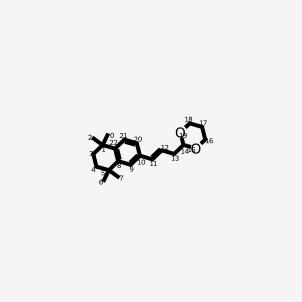 CC1(C)CCC(C)(C)c2cc(/C=C/CC3OCCCO3)ccc21